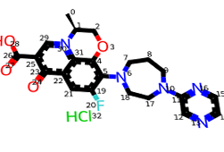 C[C@H]1COc2c(N3CCCN(c4cnccn4)CC3)c(F)cc3c(=O)c(C(=O)O)cn1c23.Cl